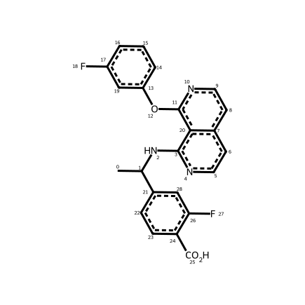 CC(Nc1nccc2ccnc(Oc3cccc(F)c3)c12)c1ccc(C(=O)O)c(F)c1